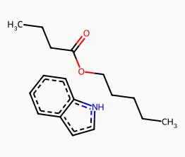 CCCCCOC(=O)CCC.c1ccc2[nH]ccc2c1